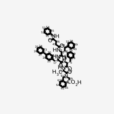 C[C@H](NC(=O)[C@@H](Cc1ccccc1)NC(=O)[C@H](Cc1ccc(-c2ccccc2)cc1)NC(=O)[C@@H](CCc1ccccc1)NC(=O)CCC(=O)Nc1ccccc1)C(=O)N(CC(=O)O)Cc1ccccc1